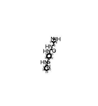 O=C(NCc1cn[nH]c1)Nc1ccc(SNc2ccccn2)cc1